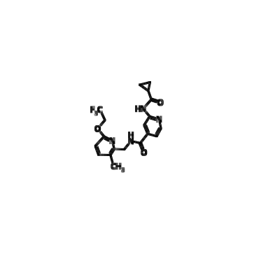 Cc1ccc(OCC(F)(F)F)nc1CNC(=O)c1ccnc(NC(=O)C2CC2)c1